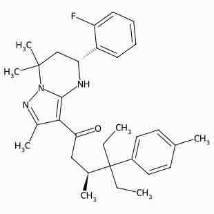 CCC(CC)(c1ccc(C)cc1)[C@@H](C)CC(=O)c1c(C)nn2c1N[C@@H](c1ccccc1F)CC2(C)C